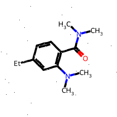 CCc1ccc(C(=O)N(C)C)c(N(C)C)c1